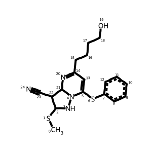 CSC1NN2C(Sc3ccccc3)=CC(CCCCO)=NC2C1C#N